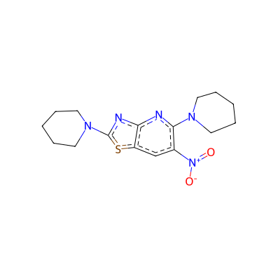 O=[N+]([O-])c1cc2sc(N3CCCCC3)nc2nc1N1CCCCC1